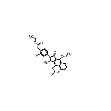 CCOC(=O)Cc1ccc(N2C(=O)c3c(c(OC(F)F)c4ccccc4c3OCC)C2O)cc1F